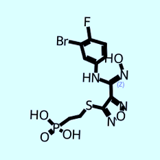 O=P(O)(O)CCSc1nonc1/C(=N/O)Nc1ccc(F)c(Br)c1